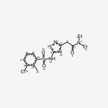 CCN(CC)C(=O)Cc1nsc(NS(=O)(=O)c2cccc(Cl)c2C)n1